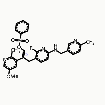 COc1cnc(C)c(/C(=C\OS(=O)(=O)c2ccccc2)Cc2ccc(NCc3ccc(C(F)(F)F)nc3)nc2F)c1